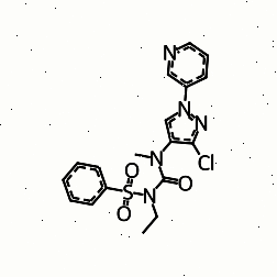 CCN(C(=O)N(C)c1cn(-c2cccnc2)nc1Cl)S(=O)(=O)c1ccccc1